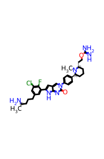 C[C@H](N)CCCc1cc(Cl)c(F)c(-c2cc3cn(-c4ccc([C@@H]5CCC[C@@H](CCOC(=N)N)N5C)cc4)c(=O)nc3[nH]2)c1